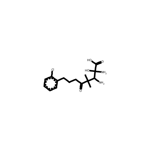 CC(C)(C(=O)CCCc1ccccc1Cl)C(N)C(N)(O)C(=O)O